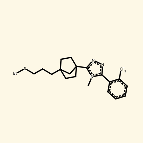 CCSCCCC12CCC(c3nnc(-c4ccccc4C(F)(F)F)n3C)(CC1)C2